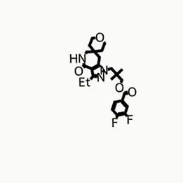 CCc1nn(CC(C)(C)COC(=O)c2ccc(F)c(F)c2)c2c1C(=O)NCC1(CCOCC1)C2